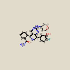 NC(=O)c1ccccc1-c1ncc(-c2ccc(F)c(O)c2)c2nc(NC3CCOCC3)ncc12